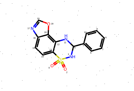 O=S1(=O)NC(c2ccccc2)Nc2c1ccc1ncoc21